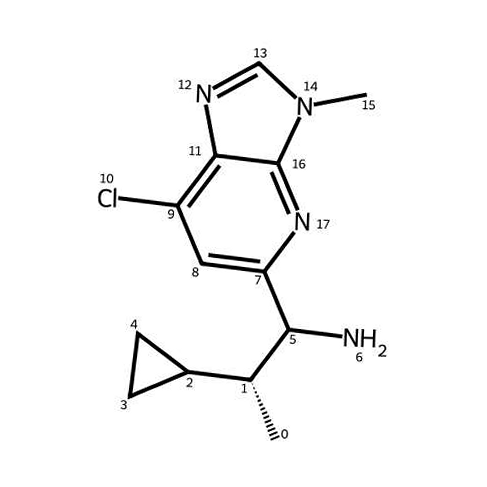 C[C@H](C1CC1)C(N)c1cc(Cl)c2ncn(C)c2n1